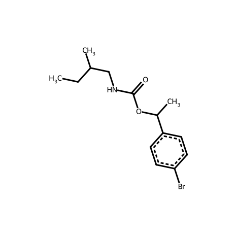 CCC(C)CNC(=O)OC(C)c1ccc(Br)cc1